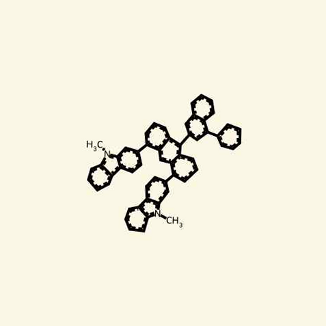 Cn1c2ccccc2c2ccc(-c3cccc4c(-c5cc(-c6ccccc6)c6ccccc6c5)c5cccc(-c6ccc7c8ccccc8n(C)c7c6)c5cc34)cc21